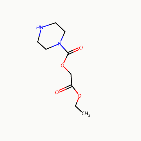 CCOC(=O)COC(=O)N1CCNCC1